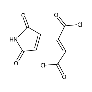 O=C(Cl)C=CC(=O)Cl.O=C1C=CC(=O)N1